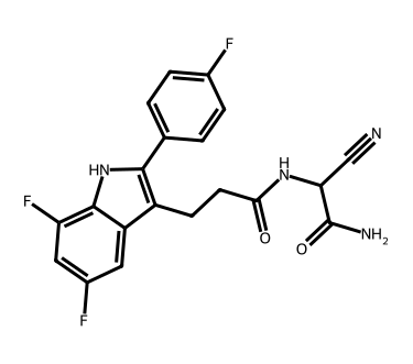 N#CC(NC(=O)CCc1c(-c2ccc(F)cc2)[nH]c2c(F)cc(F)cc12)C(N)=O